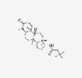 CN1C(=O)CC[C@@]2(C)C1CC[C@@H]1[C@H]2CC[C@]2(C)C(NC(=O)CC(C)(C)C)CC[C@@H]12